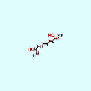 CCOC(O)COCCOCC(O)OCC